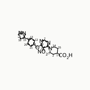 O=C(O)C1CCN(c2ncnc(Oc3ccc(-c4csnn4)cc3)c2[N+](=O)[O-])CC1